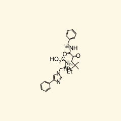 CCCC(C)(C)[C@@H](C(=O)C(=O)N[C@H](C)c1ccccc1)N(C(=O)O)[C@H](CC)Cn1cnc(-c2ccccc2)c1